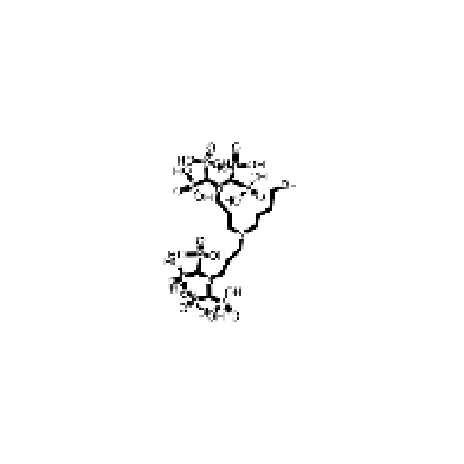 O=P(O)(O)C(N(CCCN(CCCCO)CCCN(C(P(=O)(O)O)P(=O)(O)O)C(P(=O)(O)O)P(=O)(O)O)C(P(=O)(O)O)P(=O)(O)O)P(=O)(O)O